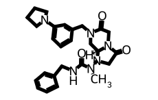 CN(C(=O)NCc1ccccc1)N1CC(=O)N2CC(=O)N(Cc3cccc(N4CCCC4)c3)C[C@@H]21